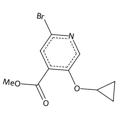 COC(=O)c1cc(Br)ncc1OC1CC1